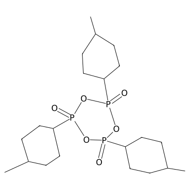 CC1CCC(P2(=O)OP(=O)(C3CCC(C)CC3)OP(=O)(C3CCC(C)CC3)O2)CC1